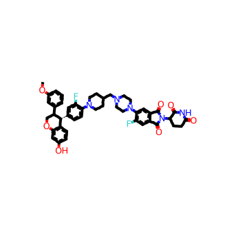 COc1cccc(C2COc3cc(O)ccc3[C@H]2c2ccc(N3CCC(CN4CCN(c5cc6c(cc5F)C(=O)N(C5CCC(=O)NC5=O)C6=O)CC4)CC3)c(F)c2)c1